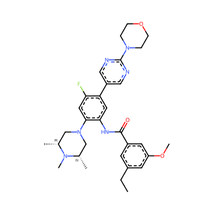 CCc1cc(OC)cc(C(=O)Nc2cc(-c3cnc(N4CCOCC4)nc3)c(F)cc2N2C[C@@H](C)N(C)[C@@H](C)C2)c1